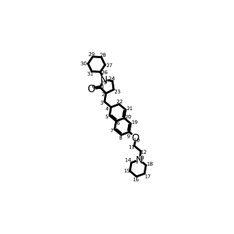 O=C1C(CC2C=c3ccc(OCCN4CCCCC4)cc3=CC2)CCN1C1CCCCC1